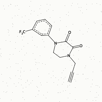 C#CCN1CCN(c2cccc(C(F)(F)F)c2)C(=O)C1=O